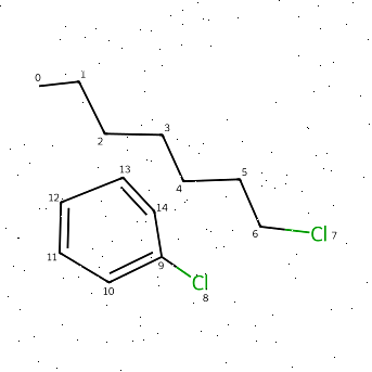 CCCCCCCCl.Clc1ccccc1